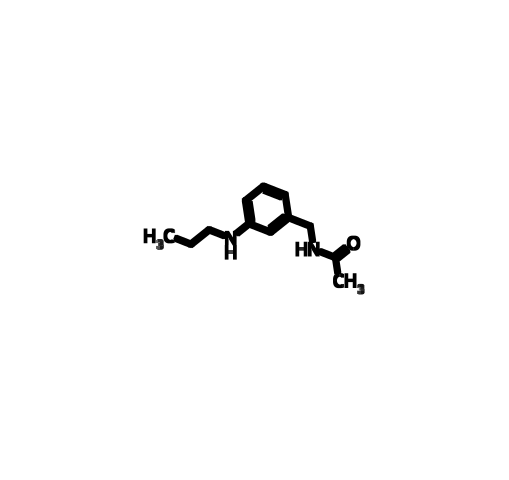 CCCNc1cccc(CNC(C)=O)c1